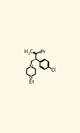 C=C(C(C)C)[C@H](CN1CCN(CC)CC1)c1ccc(Cl)cc1